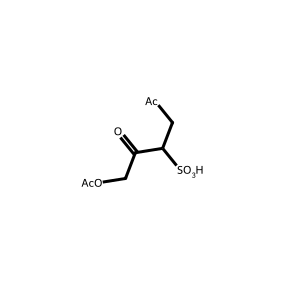 CC(=O)CC(C(=O)COC(C)=O)S(=O)(=O)O